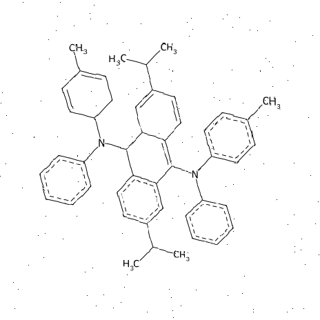 CC1=CCC(N(c2ccccc2)C2c3ccc(C(C)C)cc3C(N(c3ccccc3)c3ccc(C)cc3)=C3C=CC(C(C)C)=CC32)C=C1